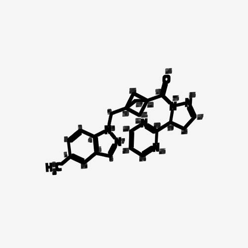 Cc1ccc2c(cnn2CC23CC(C(=O)N4N=CCC4c4ncccn4)(C2)C3)c1